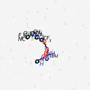 CN(C(=S)N(c1ccc(-c2ccc(OCCCCOCC(=O)NC(C(=O)N3CCC[C@H]3C(=O)NCc3ccccc3)C(C)(C)C)c(C(F)(F)F)c2)nc1)C(C)(C)C=O)c1ccc(C#N)c(C(F)(F)F)c1F